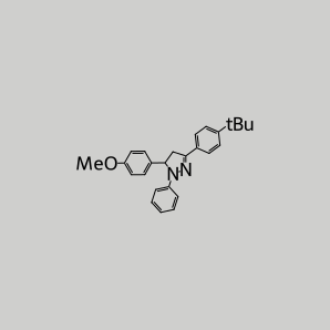 COc1ccc(C2CC(c3ccc(C(C)(C)C)cc3)=NN2c2ccccc2)cc1